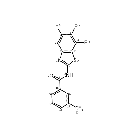 O=C(Nc1nc2cc(F)c(F)c(F)c2s1)c1cccc(C(F)(F)F)c1